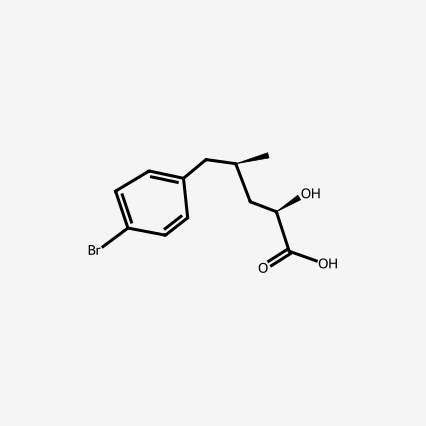 C[C@H](Cc1ccc(Br)cc1)C[C@@H](O)C(=O)O